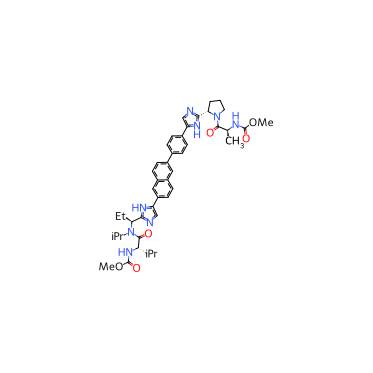 CC[C@@H](c1ncc(-c2ccc3cc(-c4ccc(-c5cnc([C@@H]6CCCN6C(=O)[C@H](C)NC(=O)OC)[nH]5)cc4)ccc3c2)[nH]1)N(C(=O)[C@@H](NC(=O)OC)C(C)C)C(C)C